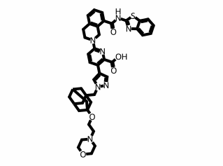 O=C(Nc1nc2ccccc2s1)c1cccc2c1CN(c1ccc(-c3cnn(CC45CC6CC(C4)CC(OCCN4CCOCC4)(C6)C5)c3)c(C(=O)O)n1)CC2